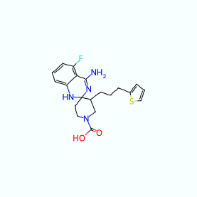 NC1=NC2(CCN(C(=O)O)CC2CCCc2cccs2)Nc2cccc(F)c21